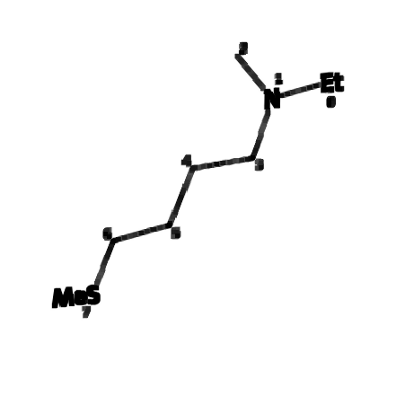 CCN(C)CCCCSC